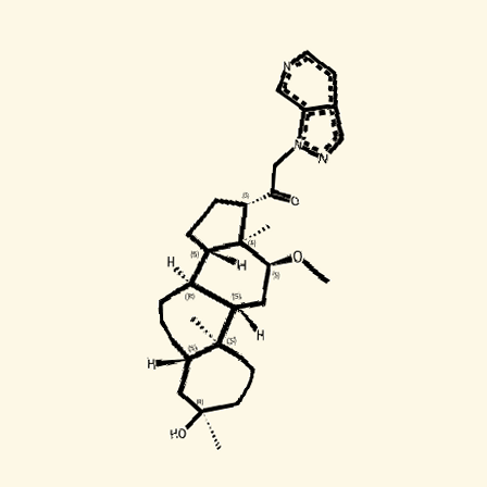 CO[C@H]1C[C@H]2[C@@H](CC[C@H]3C[C@](C)(O)CC[C@@]32C)[C@@H]2CC[C@H](C(=O)Cn3ncc4ccncc43)[C@@]12C